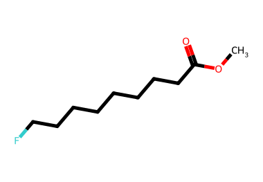 COC(=O)CCCCCCCCF